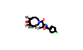 Cc1oc(-c2ccc(Cl)cc2)nc1C(=O)N1CC/C=C(/C#N)C(=O)C(C)(C)CCC1